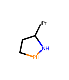 CC(C)C1CCPN1